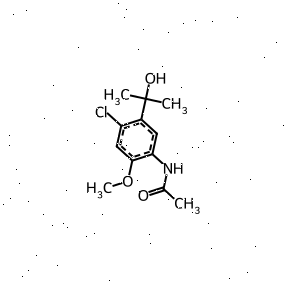 COc1cc(Cl)c(C(C)(C)O)cc1NC(C)=O